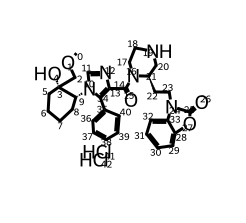 COC[C@]1(O)CCCC[C@H]1n1cnc(C(=O)N2CCNC[C@H]2CCn2c(=O)oc3ccccc32)c1-c1ccccc1.Cl.Cl